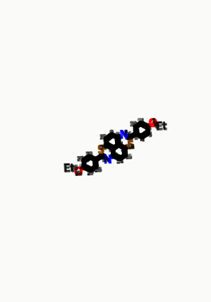 CCOc1ccc(C2=Nc3ccc4c5c(ccc(c35)S2)N=C(c2ccc(OCC)cc2)S4)cc1